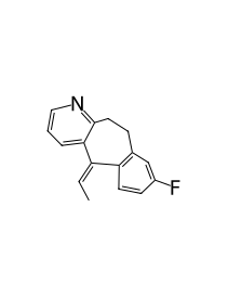 C/C=C1\c2ccc(F)cc2CCc2ncccc21